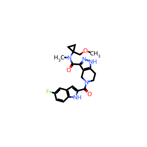 COCC1(N(C)C(=O)c2n[nH]c3c2CN(C(=O)c2cc4cc(F)ccc4[nH]2)CC3)CC1